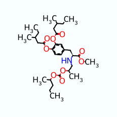 CCCC(C)OC(=O)OC(C)CN[C@@H](Cc1ccc(OC(=O)CC(C)CC)c(OC(=O)CC(C)CC)c1)C(=O)OC